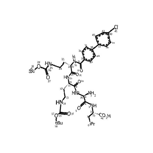 CC(C)C[C@H](NC(=O)[C@H](N)NC(=O)[C@H](CCNC(=O)OC(C)(C)C)NC(=O)[C@H](CCNC(=O)OC(C)(C)C)NC(=O)c1ccc(-c2ccc(Cl)cc2)cc1)C(=O)O